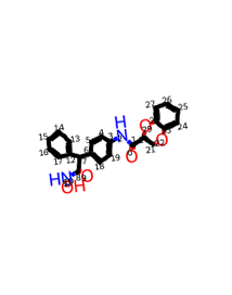 O=C(Nc1ccc(C(C(=O)NO)c2ccccc2)cc1)C1COc2ccccc2O1